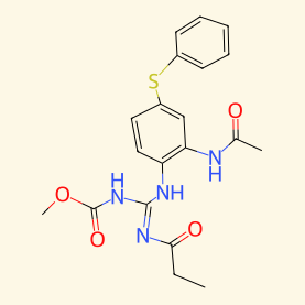 CCC(=O)/N=C(/NC(=O)OC)Nc1ccc(Sc2ccccc2)cc1NC(C)=O